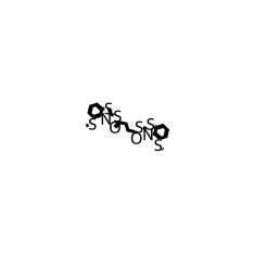 CSc1cccc2sc(SC(=O)CCC(=O)Sc3nc4c(SC)cccc4s3)nc12